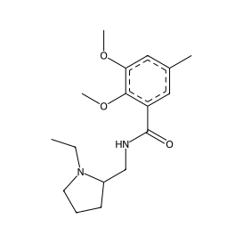 CCN1CCCC1CNC(=O)c1cc(C)cc(OC)c1OC